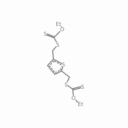 CCOC(=S)SCc1ccc(CSC(=S)OCC)s1